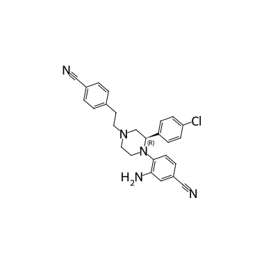 N#Cc1ccc(CCN2CCN(c3ccc(C#N)cc3N)[C@H](c3ccc(Cl)cc3)C2)cc1